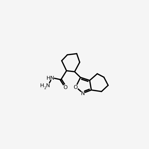 NNC(=O)C1CCCCC1c1onc2c1CCCC2